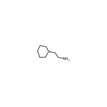 NCCN1C[CH]CCC1